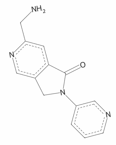 NCc1cc2c(cn1)CN(c1cccnc1)C2=O